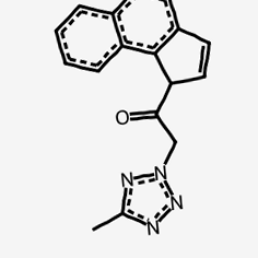 Cc1nnn(CC(=O)C2C=Cc3ccc4ccccc4c32)n1